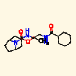 CCOC(=O)N1C2CCC1CC(NCCNC(=O)C1CCCCC1)C2